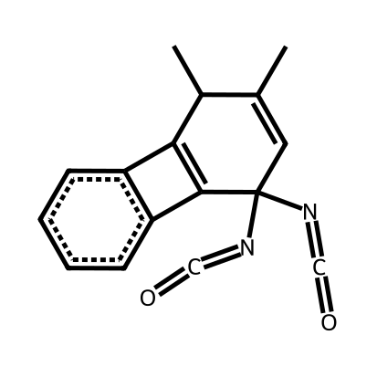 CC1=CC(N=C=O)(N=C=O)C2=C(c3ccccc32)C1C